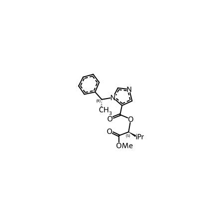 COC(=O)[C@@H](OC(=O)c1cncn1[C@H](C)c1ccccc1)C(C)C